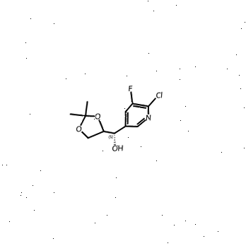 CC1(C)OCC([C@@H](O)c2cnc(Cl)c(F)c2)O1